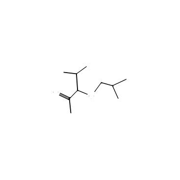 CC(=O)C(OCC(C)C)C(C)C